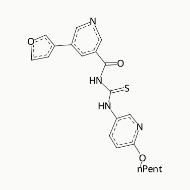 CCCCCOc1ccc(NC(=S)NC(=O)c2cncc(-c3ccoc3)c2)cn1